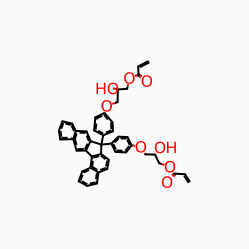 C=CC(=O)OCC(O)COc1ccc(C2(c3ccc(OCC(O)COC(=O)C=C)cc3)c3cc4ccccc4cc3-c3c2ccc2ccccc32)cc1